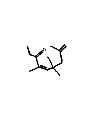 C=C(C)CC(C)(C)C=C(C)C(=O)CC